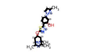 Cc1ccn(-c2ccc(-c3nnc(OC4CC5NC(C)(C4)C(C)CC5C)s3)c(O)c2)n1